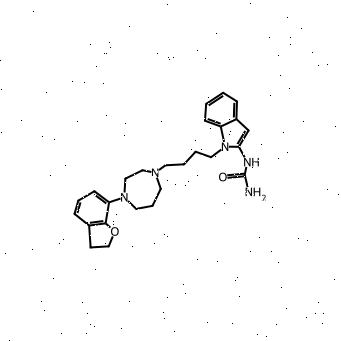 NC(=O)Nc1cc2ccccc2n1CCCCN1CCCN(c2cccc3c2OCC3)CC1